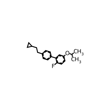 CC(C)Oc1ccc(F)c(-c2ccc(CCC3CC3)cc2)c1